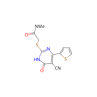 CNC(=O)CSc1nc(-c2cccs2)c(C#N)c(=O)[nH]1